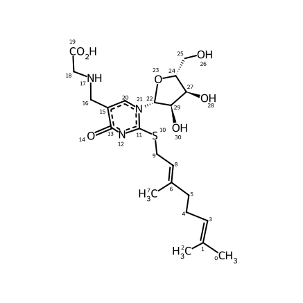 CC(C)=CCC/C(C)=C/CSc1nc(=O)c(CNCC(=O)O)cn1[C@@H]1O[C@H](CO)[C@@H](O)[C@H]1O